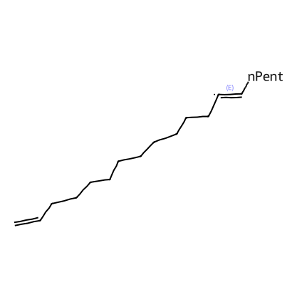 C=CCCCCCCCCCC/[C]=C/CCCCC